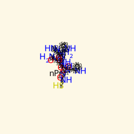 CCCN(CC(=O)NCCS)C(=O)CN(CCc1c[nH]c2ccccc12)C(=O)CNC(=O)C(CCCNC(N)=O)NC(=O)CN(CCc1c[nH]c2ccccc12)C(=O)[C@@H](N)Cc1c[nH]cn1